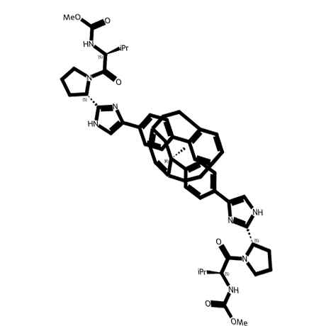 COC(=O)N[C@H](C(=O)N1CCC[C@H]1c1nc(-c2ccc(-c3cc4ccc3CCC3=CC=C(CC4)[C@](C)(c4ccc(-c5c[nH]c([C@@H]6CCCN6C(=O)[C@@H](NC(=O)OC)C(C)C)n5)cc4)C3)cc2)c[nH]1)C(C)C